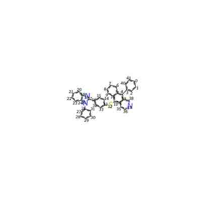 c1ccc(-c2c3ccccc3c(Sc3ccc(-c4nc5ccccc5n4-c4ccccc4)cc3)c3ccncc23)cc1